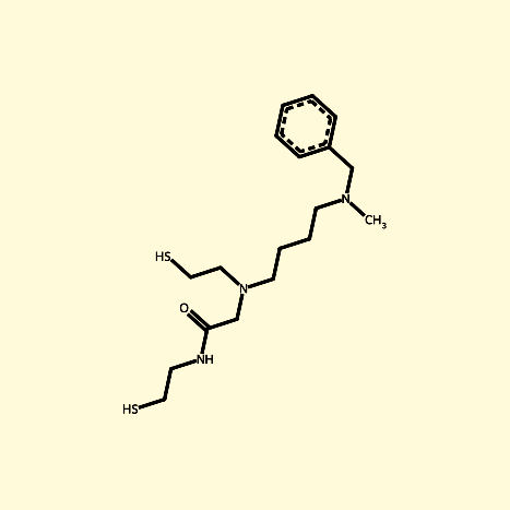 CN(CCCCN(CCS)CC(=O)NCCS)Cc1ccccc1